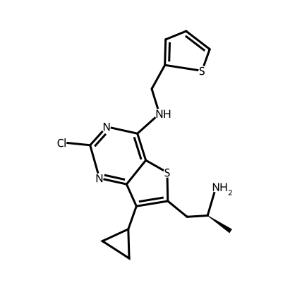 C[C@H](N)Cc1sc2c(NCc3cccs3)nc(Cl)nc2c1C1CC1